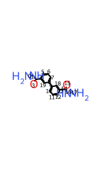 NNC(=O)c1cccc(-c2cccc(C(=O)NN)c2)c1